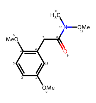 COc1ccc(OC)c(CC(=O)N(C)OC)c1